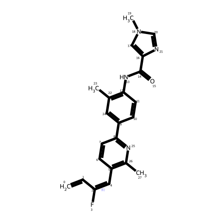 C=C/C(F)=C\c1ccc(-c2ccc(NC(=O)c3cn(C)cn3)c(C)c2)nc1C